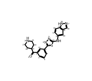 O=C(c1cccc(-c2nnc(Nc3ccc4[nH]ncc4c3)s2)c1)C1CCNCC1